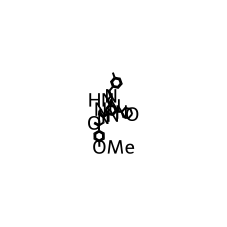 COc1ccc(C(=O)Cn2cnc3c(N/N=C/c4cccc(C)c4)nc(N4CCOCC4)nc32)cc1